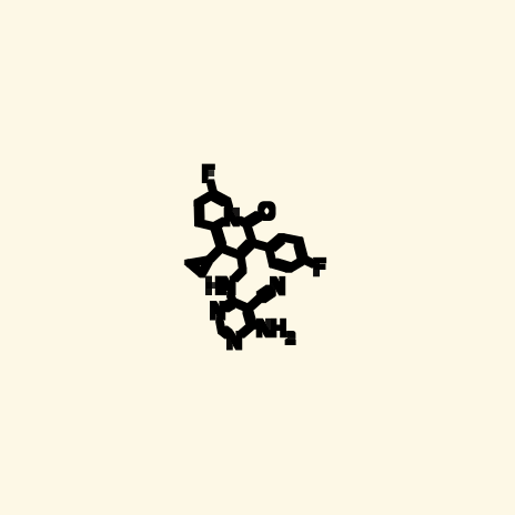 N#Cc1c(N)ncnc1NCc1c(-c2ccc(F)cc2)c(=O)n2cc(F)ccc2c1C1CC1